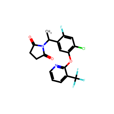 CC(c1cc(Oc2ncccc2C(F)(F)F)c(Cl)cc1F)N1C(=O)CCC1=O